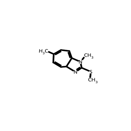 CSC1=NC2C=CC(C)=CC=C2N1C